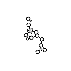 c1ccc(-c2nc(-c3ccc4c(c3)sc3ccccc34)nc(-c3cccc4oc5ccc(-c6cccc(-c7cccc(-c8ccc9c(c8)c8ccccc8n9-c8ccccc8)c7)c6)cc5c34)n2)cc1